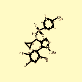 CC(C)(C)n1ncc([C@H](NS(=O)(=O)c2ccc(C(F)(F)F)nc2)C2CC2)c1-c1cc(F)c(F)cc1Br